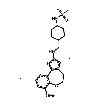 COc1cccc2c1OCCc1sc(NC[C@H]3CC[C@H](NS(C)(=O)=O)CC3)nc1-2